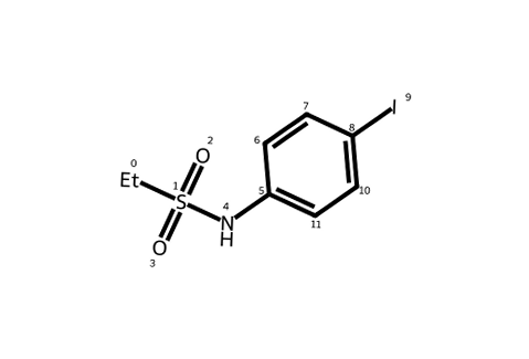 CCS(=O)(=O)Nc1ccc(I)cc1